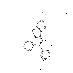 Cc1ccn2c(c1)nc1c3ccccc3c(-c3cccs3)cc12